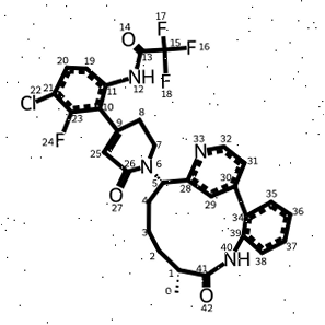 C[C@@H]1CCC[C@H](N2CCC(c3c(NC(=O)C(F)(F)F)ccc(Cl)c3F)=CC2=O)c2cc(ccn2)-c2ccccc2NC1=O